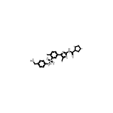 Cc1ccc(-c2sc(NC(=O)C3CCCC3)nc2C)cc1S(=O)(=O)Nc1ccc(CO)cc1